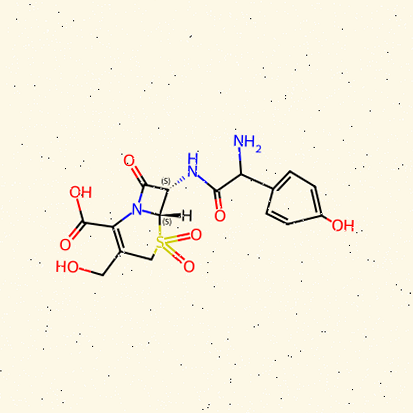 NC(C(=O)N[C@H]1C(=O)N2C(C(=O)O)=C(CO)CS(=O)(=O)[C@@H]12)c1ccc(O)cc1